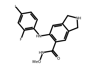 CONC(=O)c1cc2c(cc1Nc1ccc(I)cc1F)CNC2